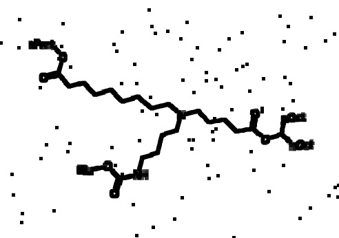 CCCCCCCCC(CCCCCCCC)OC(=O)CCCCN(CCCCCCCCC(=O)OCCCCC)CCCCNC(=O)OC(C)(C)C